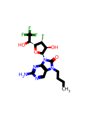 CCCCn1c(=O)n([C@@H]2O[C@H](C(O)C(F)(F)F)[C@H](F)[C@H]2O)c2nc(N)ncc21